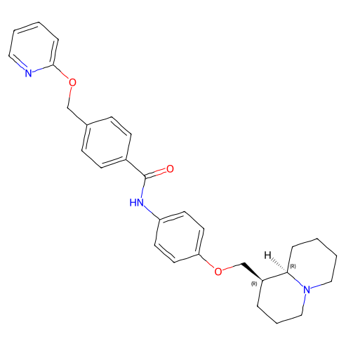 O=C(Nc1ccc(OC[C@@H]2CCCN3CCCC[C@H]23)cc1)c1ccc(COc2ccccn2)cc1